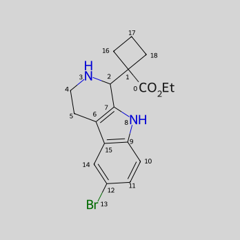 CCOC(=O)C1(C2NCCc3c2[nH]c2ccc(Br)cc32)CCC1